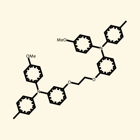 COc1ccc(N(c2ccc(C)cc2)c2cccc(OCCOc3cccc(N(c4ccc(C)cc4)c4ccc(OC)cc4)c3)c2)cc1